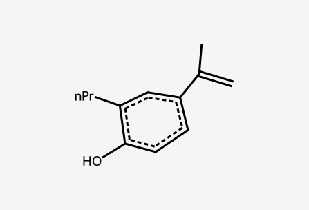 C=C(C)c1ccc(O)c(CCC)c1